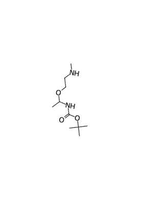 CNCCOC(C)NC(=O)OC(C)(C)C